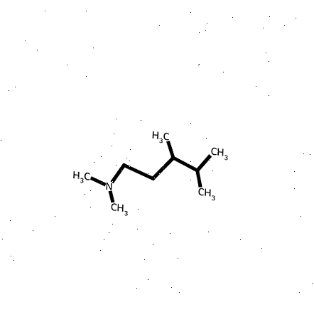 CC(C)C(C)CCN(C)C